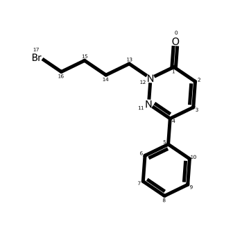 O=c1ccc(-c2ccccc2)nn1CCCCBr